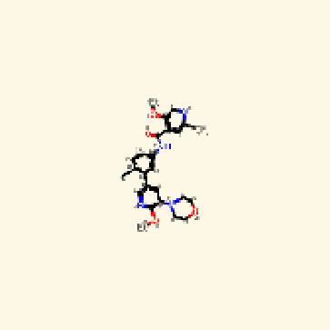 CCOc1cnc(C(F)(F)F)cc1C(=O)Nc1ccc(C)c(-c2cnc(OCC)c(N3CCOCC3)c2)c1